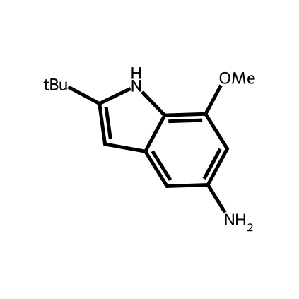 COc1cc(N)cc2cc(C(C)(C)C)[nH]c12